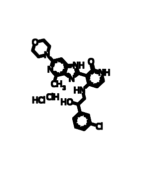 Cc1nc(N2CCOCC2)cc2[nH]c(-c3c(NCC(O)c4cccc(Cl)c4)cc[nH]c3=O)nc12.Cl.Cl